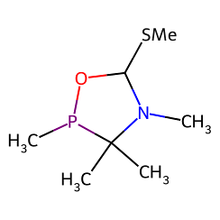 CSC1OP(C)C(C)(C)N1C